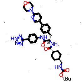 CC(C)(C)OC(=O)NC[C@H]1CC[C@H](C(=O)N[C@@H](Cc2ccc(-c3ccc(N4CCOCC4)nc3)cc2)C(=O)Nc2ccc(-c3nn[nH]n3)cc2)CC1